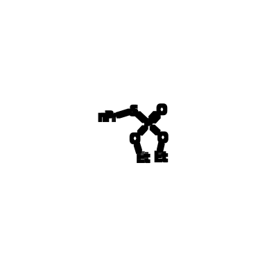 CCCSP(=O)(OCC)OCC